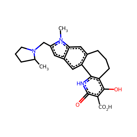 CC1CCCN1Cc1cc2cc3c(cc2n1C)CCCc1c-3[nH]c(=O)c(C(=O)O)c1O